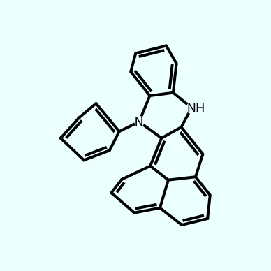 C1=CC2=CC=CC3=C4C(=CC(=C1)C23)Nc1ccccc1N4c1ccccc1